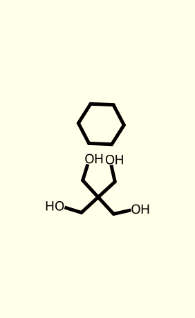 C1CCCCC1.OCC(CO)(CO)CO